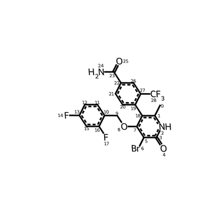 Cc1[nH]c(=O)c(Br)c(OCc2ccc(F)cc2F)c1-c1ccc(C(N)=O)cc1C(F)(F)F